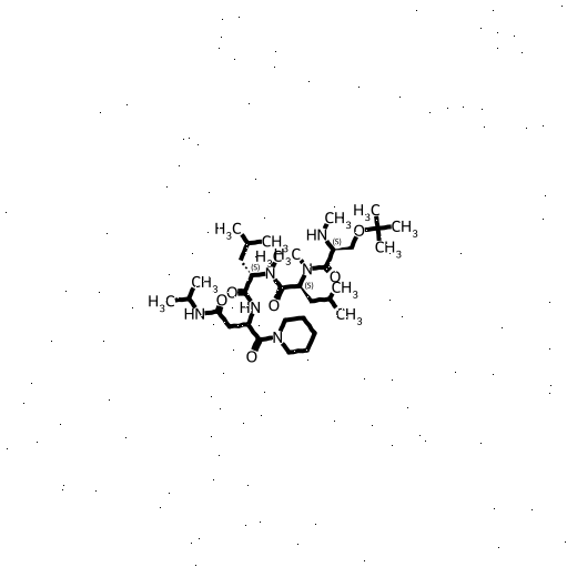 CN[C@@H](COC(C)(C)C)C(=O)N(C)[C@@H](CC(C)C)C(=O)N(C)[C@@H](CC(C)C)C(=O)NC(CC(=O)NC(C)C)C(=O)N1CCCCC1